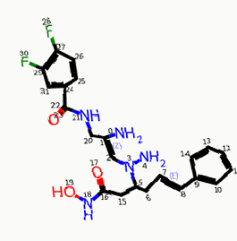 N/C(=C\N(N)C(C/C=C/c1ccccc1)CC(=O)NO)CNC(=O)c1ccc(F)c(F)c1